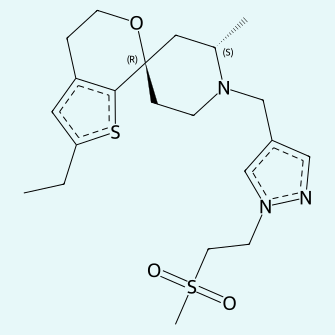 CCc1cc2c(s1)[C@]1(CCN(Cc3cnn(CCS(C)(=O)=O)c3)[C@@H](C)C1)OCC2